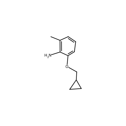 Cc1cccc(OCC2CC2)c1N